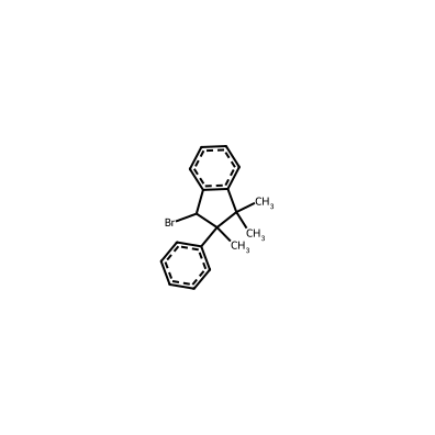 CC1(C)c2ccccc2C(Br)C1(C)c1ccccc1